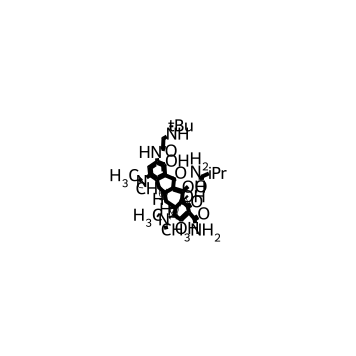 CC(C)C(N)=O.CN(C)c1cc(NC(=O)CNC(C)(C)C)c(O)c2c1C[C@H]1C[C@H]3[C@H](N(C)C)C(O)=C(C(N)=O)C(=O)[C@@]3(O)C(O)=C1C2=O